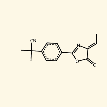 C/C=C1\N=C(c2ccc(C(C)(C)C#N)cc2)OC1=O